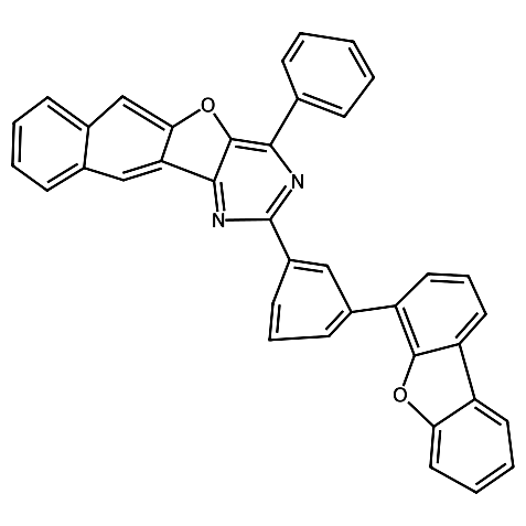 c1ccc(-c2nc(-c3cccc(-c4cccc5c4oc4ccccc45)c3)nc3c2oc2cc4ccccc4cc23)cc1